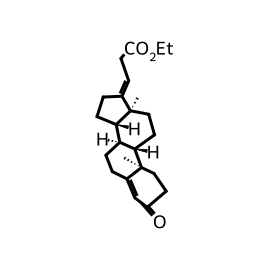 CCOC(=O)C/C=C1\CC[C@H]2[C@@H]3CCC4=CC(=O)CC[C@]4(C)[C@H]3CC[C@]12C